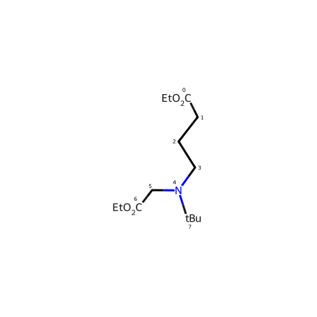 CCOC(=O)CCCN(CC(=O)OCC)C(C)(C)C